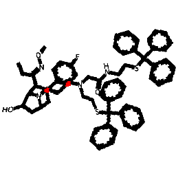 CCC(=NOC)C1C(c2ccc(F)cc2)CC2CC(O)C1N2CCCN(CCSC(c1ccccc1)(c1ccccc1)c1ccccc1)CC(=O)NCCSC(c1ccccc1)(c1ccccc1)c1ccccc1